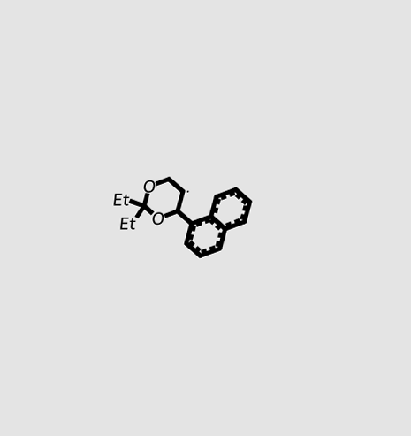 CCC1(CC)OC[CH]C(c2cccc3ccccc23)O1